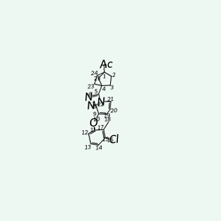 CC(=O)C12CCC(c3nnc4c(Oc5cccc(Cl)c5C)cccn34)(CC1)C2